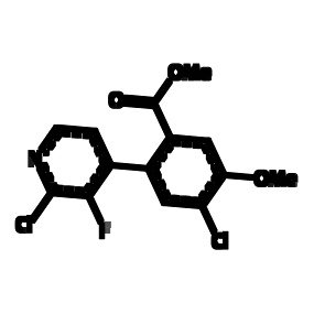 COC(=O)c1cc(OC)c(Cl)cc1-c1ccnc(Cl)c1F